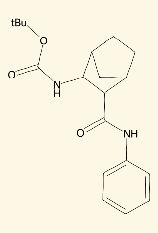 CC(C)(C)OC(=O)NC1C2CCC(C2)C1C(=O)Nc1ccccc1